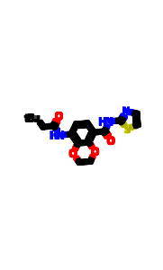 CC(C)(C)CC(=O)Nc1ccc(C(=O)Nc2nccs2)c2c1OCCO2